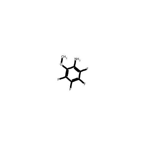 COc1c(N)c(F)c(F)c(F)c1F